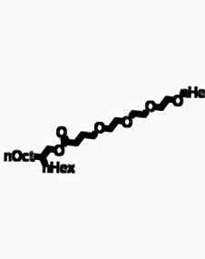 CCCCCCCCC(CCCCCC)COC(=O)CCCOCCOCCOCCOCCCCCC